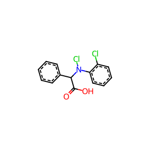 O=C(O)C(c1ccccc1)N(Cl)c1ccccc1Cl